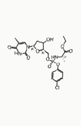 CCOC(=O)[C@H](C)NP(=O)(OC[C@H]1O[C@@H](n2cc(C)c(=O)[nH]c2=O)CC1O)Oc1ccc(Cl)cc1